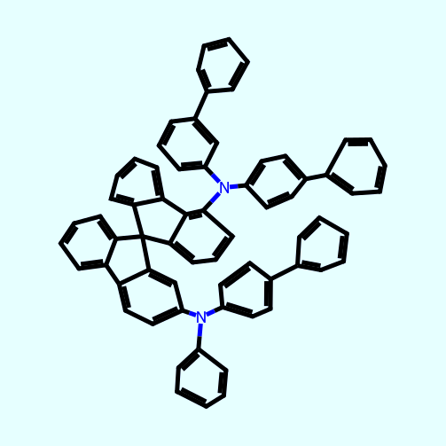 c1ccc(-c2ccc(N(c3ccccc3)c3ccc4c(c3)C3(c5ccccc5-4)c4ccccc4-c4c(N(c5ccc(-c6ccccc6)cc5)c5cccc(-c6ccccc6)c5)cccc43)cc2)cc1